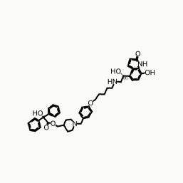 O=C(OCC1CCN(Cc2ccc(OCCCCCNC[C@H](O)c3ccc(O)c4[nH]c(=O)ccc34)cc2)CC1)C(O)(c1ccccc1)c1ccccc1